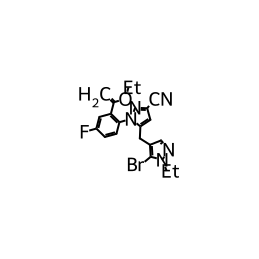 C=C(OCC)c1cc(F)ccc1-n1nc(C#N)cc1Cc1cnn(CC)c1Br